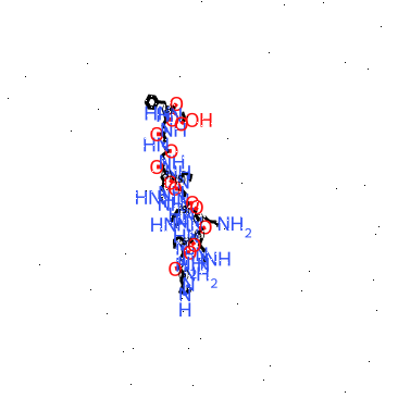 N=C(N)NCCC[C@H](NC(=O)[C@@H]1CCCN1C(=O)CNC(=O)[C@H](Cc1c[nH]cn1)NC(=O)[C@H](CCCCN)NC(=O)[C@H](CCCNC(=N)N)NC(=O)[C@@H]1CCCN1C(=O)CNC(=O)[C@@H](N)Cc1c[nH]cn1)C(=O)NCC(=O)NCC(=O)NCC(=O)N[C@@H](Cc1ccccc1)C(=O)NCC(=O)O